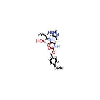 COc1ccc(COC(=O)N[C@@H](Cc2c[nH]cn2)C(=O)N[C@H](CO)CC(C)C)cc1